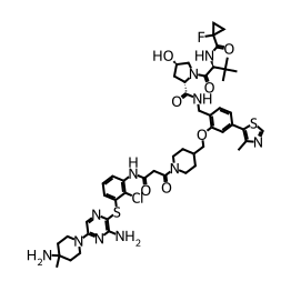 Cc1ncsc1-c1ccc(CNC(=O)[C@@H]2C[C@@H](O)CN2C(=O)[C@@H](NC(=O)C2(F)CC2)C(C)(C)C)c(OCC2CCN(C(=O)CC(=O)Nc3cccc(Sc4ncc(N5CCC(C)(N)CC5)nc4N)c3Cl)CC2)c1